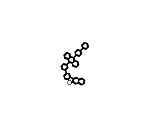 c1ccc(-c2ccc(-c3c4ccccc4c(-c4cccc(-c5ccc6oc7cc8ccccc8cc7c6c5)c4)c4ccccc34)cc2)cc1